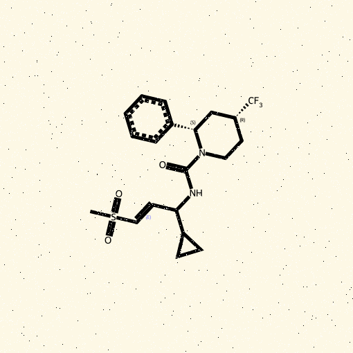 CS(=O)(=O)/C=C/C(NC(=O)N1CC[C@@H](C(F)(F)F)C[C@H]1c1ccccc1)C1CC1